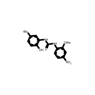 COc1cc([N+](=O)[O-])ccc1NC(=S)Nc1cc(C(C)(C)C)ccc1O